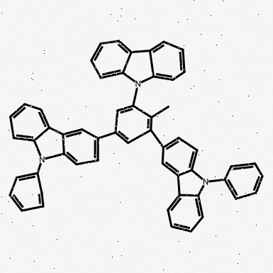 Cc1c(-c2ccc3c(c2)c2ccccc2n3-c2ccccc2)cc(-c2ccc3c(c2)c2ccccc2n3-c2ccccc2)cc1-n1c2ccccc2c2ccccc21